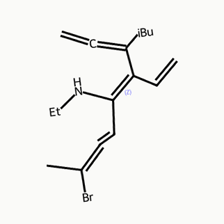 C=C=C(/C(C=C)=C(/C=C=C(C)Br)NCC)C(C)CC